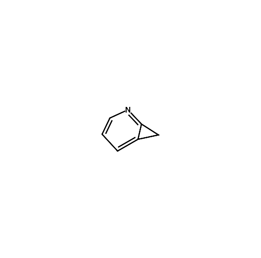 c1cnc2c(c1)C2